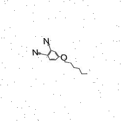 CCCCCCOc1ccc(C#N)c(C#N)c1